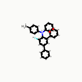 Bc1ccc(N(c2ccccc2)c2c(F)cc(-c3ccccc3)cc2-c2ccccc2)cc1